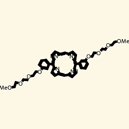 COCCOCCOCCOc1cccc(-c2c3nc(cc4ccc([nH]4)c(-c4cccc(OCCOCCOCCOC)c4)c4nc(cc5ccc2[nH]5)C=C4)C=C3)c1